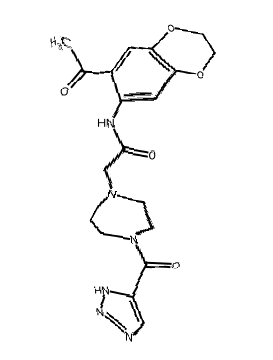 CC(=O)c1cc2c(cc1NC(=O)CN1CCN(C(=O)c3cnn[nH]3)CC1)OCCO2